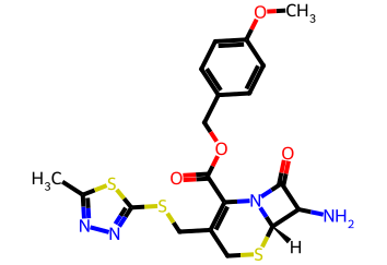 COc1ccc(COC(=O)C2=C(CSc3nnc(C)s3)CS[C@H]3C(N)C(=O)N23)cc1